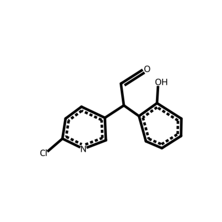 O=CC(c1ccc(Cl)nc1)c1ccccc1O